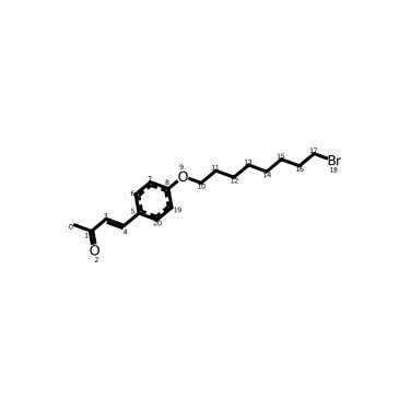 CC(=O)/C=C/c1ccc(OCCCCCCCCBr)cc1